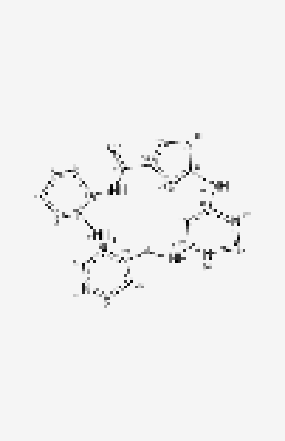 Nc1ccccc1NC(=O)c1cnc(Nc2cc(NCc3ccncc3)ncn2)s1